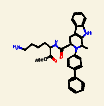 COC(=O)C(CCCCN)NC(=O)C1Cc2c([nH]c3ccccc23)C(C)N1c1ccc(-c2ccccc2)cc1